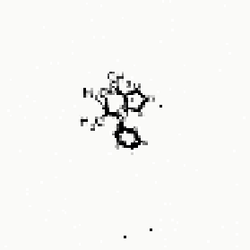 CC(=O)N(c1ccccc1)C1CCCC1N(C)C